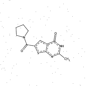 Cc1nc2sc(C(=O)N3CCCC3)cc2c(=O)[nH]1